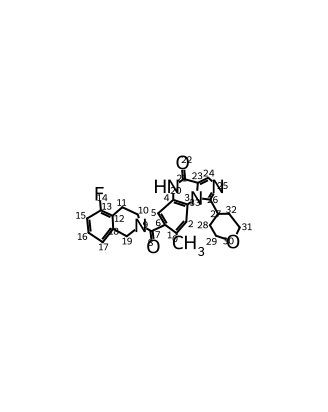 Cc1cc2c(cc1C(=O)N1CCc3c(F)cccc3C1)[nH]c(=O)c1cnc(C3CCOCC3)n12